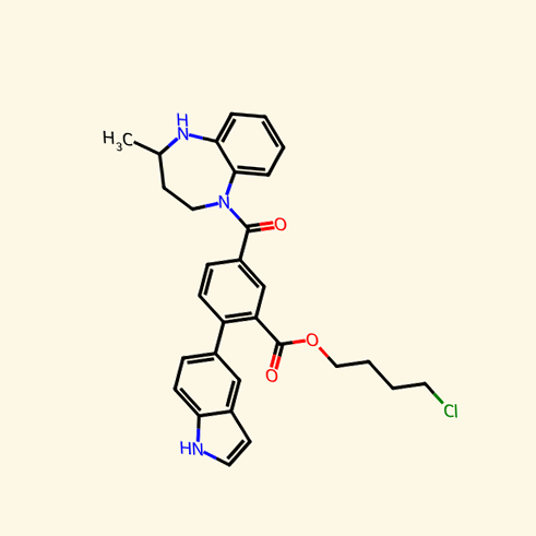 CC1CCN(C(=O)c2ccc(-c3ccc4[nH]ccc4c3)c(C(=O)OCCCCCl)c2)c2ccccc2N1